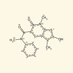 Cc1c(O)sc2c1cc(C(=O)N(C)c1ccccc1)c(=O)n2C